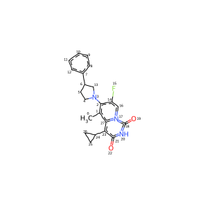 Cc1c(N2CCC(c3ccccc3)C2)c(F)cn2c(=O)[nH]c(=O)c(C3CC3)c12